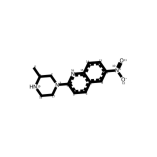 CC1CN(c2ccc3cc([N+](=O)[O-])ccc3n2)CCN1